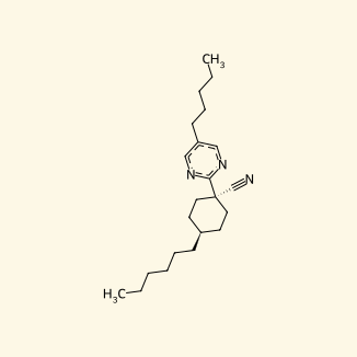 CCCCCC[C@H]1CC[C@@](C#N)(c2ncc(CCCCC)cn2)CC1